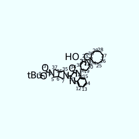 CC(C)(C)OC(=O)N1CC2CN(c3nc4ccccc4n(C4CCN(C5(C(=O)O)CCCCCCC5)CC4)c3=O)CC2C1